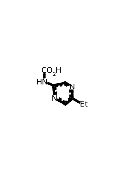 CCc1cnc(NC(=O)O)cn1